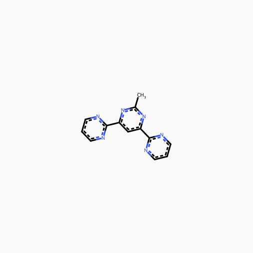 Cc1nc(-c2ncccn2)cc(-c2ncccn2)n1